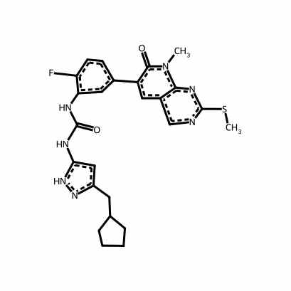 CSc1ncc2cc(-c3ccc(F)c(NC(=O)Nc4cc(CC5CCCC5)n[nH]4)c3)c(=O)n(C)c2n1